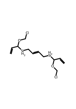 C=CC(OCCl)[SiH2]CC=CC[SiH2]C(C=C)OCCl